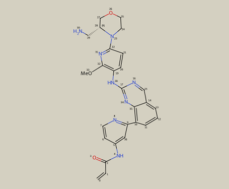 C=CC(=O)Nc1ccnc(-c2cccc3cnc(Nc4ccc(N5CCOC[C@H]5CN)nc4OC)nc23)c1